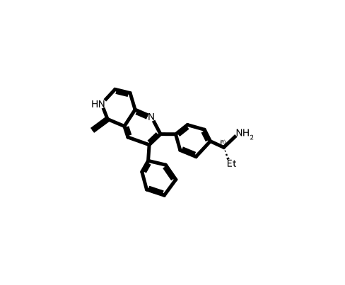 C=C1NC=Cc2nc(-c3ccc([C@H](N)CC)cc3)c(-c3ccccc3)cc21